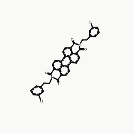 O=C1c2ccc3c4ccc5c6c(ccc(c7ccc(c2c37)C(=O)N1CCc1cccc(Cl)c1)c64)C(=O)N(CCc1cccc(Cl)c1)C5=O